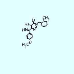 COC1C=CC(C(=N)c2ncn(CC3CCCCN3C)c(=O)c2S)=CC1